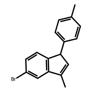 CC1=CC(c2ccc(C)cc2)c2ccc(Br)cc21